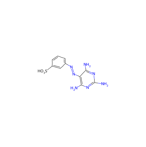 Nc1nc(N)c(/N=N/c2cccc(S(=O)(=O)O)c2)c(N)n1